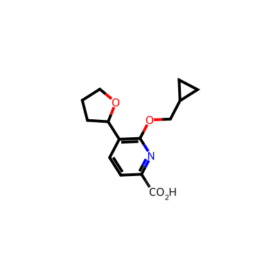 O=C(O)c1ccc(C2CCCO2)c(OCC2CC2)n1